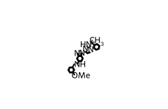 COc1cccc(CNc2ccc3c(c2)ncn3-c2ccnc(N[C@@H](C)c3ccccc3)n2)c1